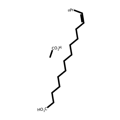 CC(=O)O.CCC/C=C\CCCCCCCCCCC(=O)O